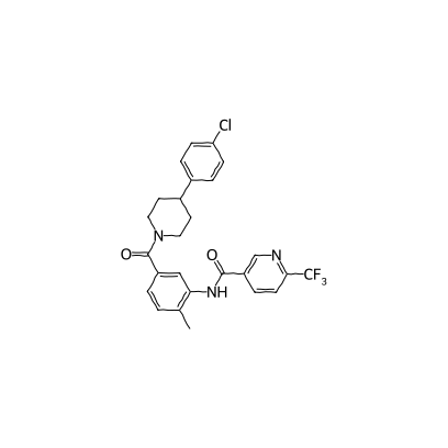 Cc1ccc(C(=O)N2CCC(c3ccc(Cl)cc3)CC2)cc1NC(=O)c1ccc(C(F)(F)F)nc1